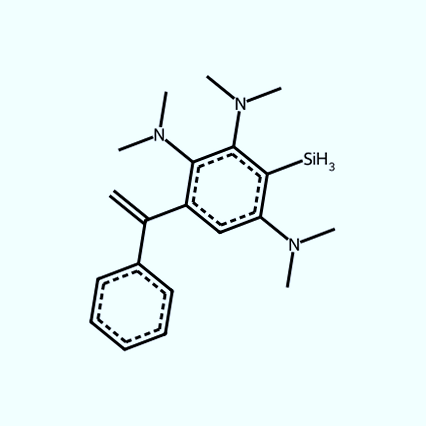 C=C(c1ccccc1)c1cc(N(C)C)c([SiH3])c(N(C)C)c1N(C)C